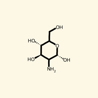 NC1[C@@H](O)[C@H](O)C(CO)O[C@@H]1O